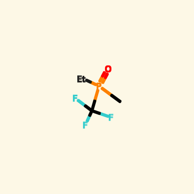 CCP(C)(=O)C(F)(F)F